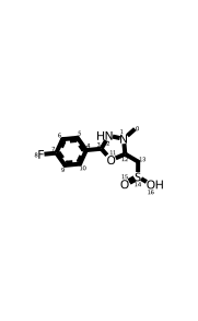 CN1NC(c2ccc(F)cc2)OC1CS(=O)O